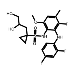 COc1cc(C)c(F)c(Nc2ccc(I)cc2F)c1NS(=O)(=O)C1(CC(O)CO)CC1